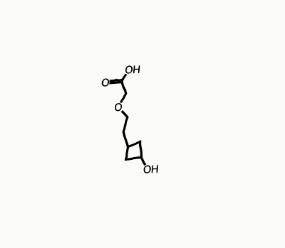 O=C(O)COCCC1CC(O)C1